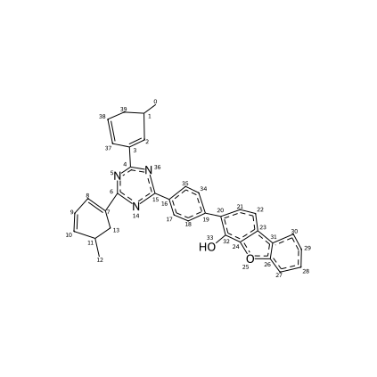 CC1C=C(c2nc(C3=CC=CC(C)C3)nc(-c3ccc(-c4ccc5c(oc6ccccc65)c4O)cc3)n2)C=CC1